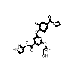 C[C@H](CO)Oc1cc(C(=O)Nc2cc[nH]n2)cc(Oc2ccc(C(=O)N3CCC3)cc2F)n1